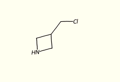 ClCC1CNC1